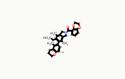 Cc1c(-c2c(C)c3c(c(C)c2CC(=O)O)CN(C(=O)c2cccc4c2OCCO4)C3)cc(F)c2c1CCCO2